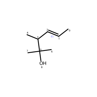 C/C=C/C(C)C(C)(C)O